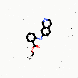 CCOC(=O)c1ccccc1Nc1ccc2ccncc2c1